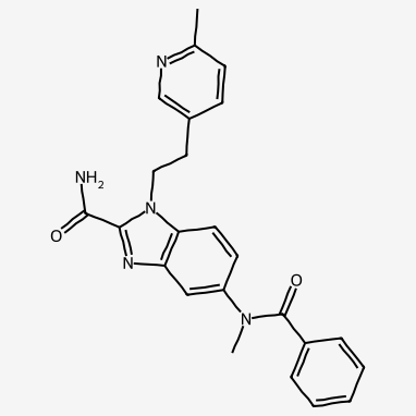 Cc1ccc(CCn2c(C(N)=O)nc3cc(N(C)C(=O)c4ccccc4)ccc32)cn1